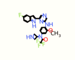 COc1cc(N(C(=O)C(F)(F)F)C2CNC2)ccc1Nc1cncc(-c2cc3cc(F)ccc3[nH]2)n1